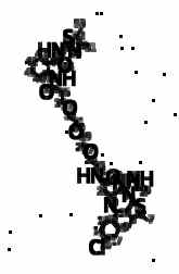 CC(=N)N1c2sc(C)c(C)c2C(c2ccc(Cl)cc2)=N[C@@H](CC(=O)NCCOCCOCCOCCC(=O)Nc2ccccc2C(=O)Nc2nc(C)c(C)s2)C1N